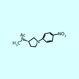 CC(=O)N(C)[C@@H]1CCN(c2ccc([N+](=O)[O-])cc2)C1